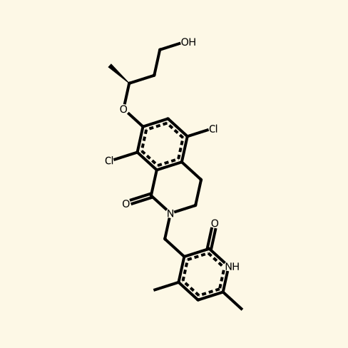 Cc1cc(C)c(CN2CCc3c(Cl)cc(O[C@@H](C)CCO)c(Cl)c3C2=O)c(=O)[nH]1